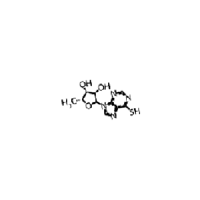 C[C@H]1OC(n2cnc3c(S)ncnc32)[C@H](O)[C@@H]1O